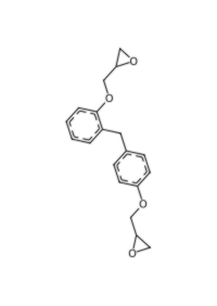 c1ccc(OCC2CO2)c(Cc2ccc(OCC3CO3)cc2)c1